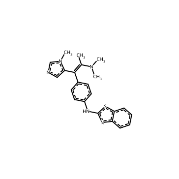 CC(=C(c1ccc(Nc2nc3ccccc3s2)cc1)c1cncn1C)N(C)C